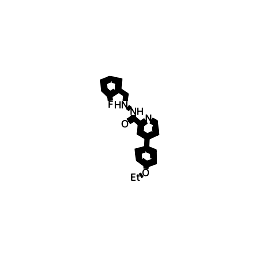 CCOc1ccc(-c2ccnc(C(=O)NNCc3ccccc3F)c2)cc1